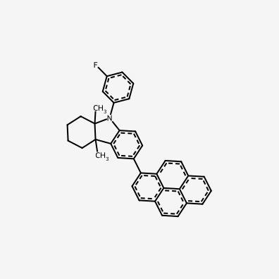 CC12CCCCC1(C)N(c1cccc(F)c1)c1ccc(-c3ccc4ccc5cccc6ccc3c4c56)cc12